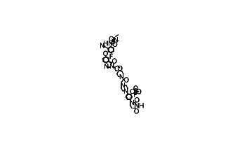 CCN(C)S(=O)(=O)Nc1ccc(F)c(Oc2ccc3ncn([C@H]4COC5(CCN(C(=O)CN6CCN(c7ccc(N8CCC(=O)NC8=O)cc7OS(=O)(=O)F)CC6)CC5)C4)c(=O)c3c2)c1C#N